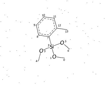 CO[Si](OC)(OC)c1ccccc1C